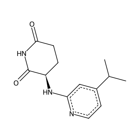 CC(C)c1ccnc(N[C@@H]2CCC(=O)NC2=O)c1